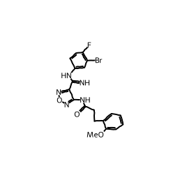 COc1ccccc1CCC(=O)Nc1nonc1C(=N)Nc1ccc(F)c(Br)c1